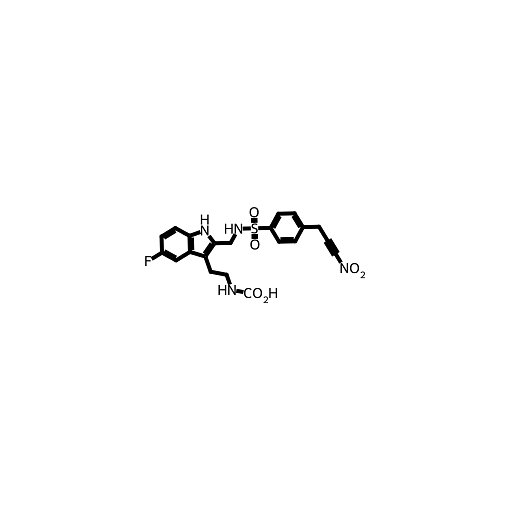 O=C(O)NCCc1c(CNS(=O)(=O)c2ccc(CC#C[N+](=O)[O-])cc2)[nH]c2ccc(F)cc12